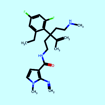 C=Nc1c(C(=O)NCCC(CCNC)(C(=C)C)c2c(F)cc(F)cc2CC)ccn1C